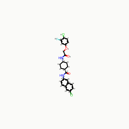 O=C(COc1ccc(Cl)c(F)c1)N[C@H]1CC[C@H](C(=O)Nc2ccc3cc(Cl)ccc3c2)CC1